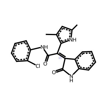 Cc1cc(C)c(/C(C(=O)Nc2ccccc2Cl)=C2/C(=O)Nc3ccccc32)[nH]1